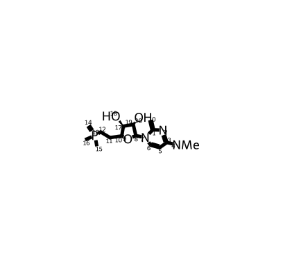 C=C1N=C(NC)C=CN1C1OC(CCP(=C)(C)C)[C@@H](O)[C@H]1O